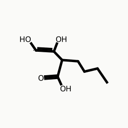 CCCCC(C(=O)O)/C(O)=[C]/O